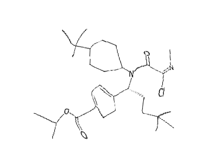 C/N=C(/Cl)C(=O)N(C1CCC(C(C)(C)C)CC1)[C@H](CCC(C)(C)C)C1=CC=C(C(=O)OC(C)C)CC1